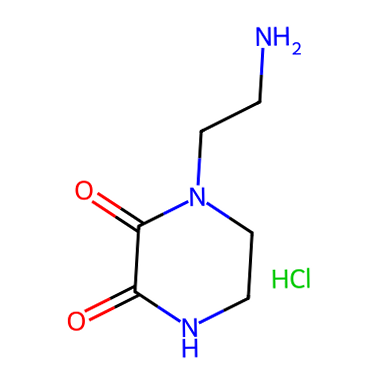 Cl.NCCN1CCNC(=O)C1=O